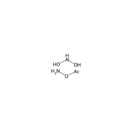 CC(=O)ON.[OH][AlH][OH]